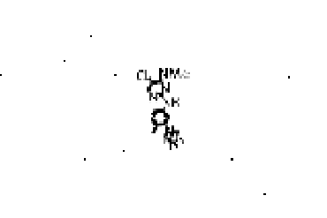 CNc1nc(Nc2ccc(C)c(-n3cnnn3)c2)ncc1Cl